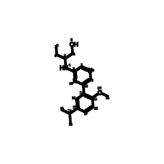 CCC(CO)Nc1cncc(-c2cc(C(C)C)ccc2OC)n1